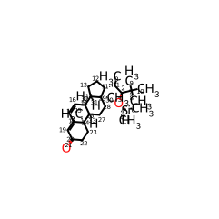 CC(C(O[SiH](C)C)C(C)(C)C)[C@H]1CC[C@H]2[C@@H]3C=CC4=CC(=O)CC[C@]4(C)[C@H]3CC[C@]12C